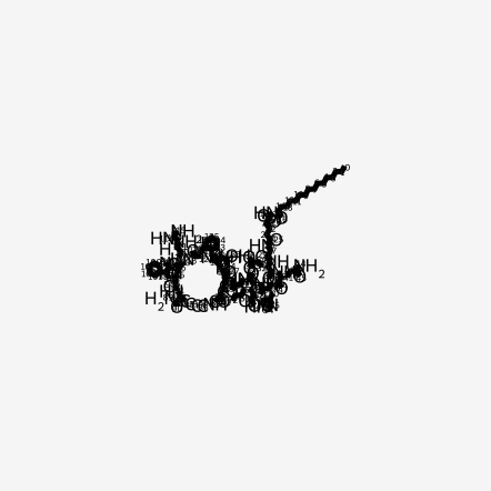 CCCCCCCCCCCCCCCC(=O)NS(=O)(=O)CCCC(=O)NCC(=O)N[C@@H](CCC(=O)O)C(=O)N[C@@H](CCC(N)=O)C(=O)N[C@@H](Cc1c[nH]cn1)C(=O)N[C@@H](CCC(=O)O)C(=O)N[C@@H](CCCC)C(=O)N[C@H]1CCC(=O)CNCCCC[C@@H](C(N)=O)NC(=O)[C@H](Cc2c[nH]c3ccccc23)NC(=O)[C@H](CCCNC(=N)N)NC(=O)[C@@H](Cc2ccccc2)NC(=O)[C@@H]2C[C@@H](O)CN2C1=O